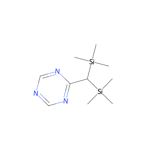 C[Si](C)(C)C(c1ncncn1)[Si](C)(C)C